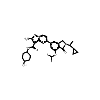 CC(C1CC1)N1Cc2cc(-c3ccn4nc(N)c(C(=O)NC5CCC(O)CC5)c4n3)cc(OC(F)F)c2C1=O